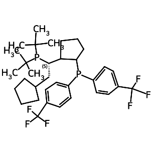 CC(C)(C)P([C@@H](CC1CCCC1)C1CCCC1P(c1ccc(C(F)(F)F)cc1)c1ccc(C(F)(F)F)cc1)C(C)(C)C